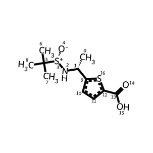 C[C@@H](N[S@@+]([O-])C(C)(C)C)c1ccc(C(=O)O)s1